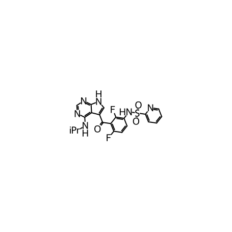 CC(C)Nc1ncnc2[nH]cc(C(=O)c3c(F)ccc(NS(=O)(=O)c4ccccn4)c3F)c12